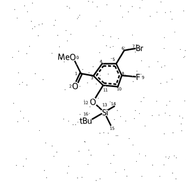 COC(=O)c1cc(CBr)c(F)cc1O[Si](C)(C)C(C)(C)C